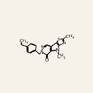 CCc1ccc(Cn2ncc3c4sc(C)nc4n(C)c3c2=O)cc1